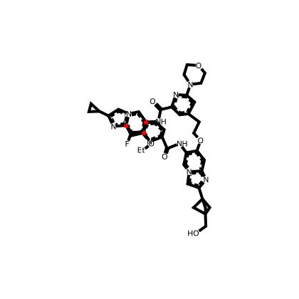 CCOc1cc2nc(C3CC3)cn2cc1NC(=O)c1cc(CCOc2cc3nc(C45CC(CO)(C4)C5)cn3cc2NC(=O)c2cccc(C(F)F)n2)cc(N2CCOCC2)n1